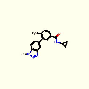 Cc1ccc(C(=O)NC2CC2)cc1-c1ccc2c(c1)nnn2C(C)C